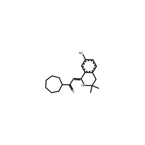 CC1(C)Cc2ccc(C#N)cc2C(=CC(=O)C2CCCCCC2)N1